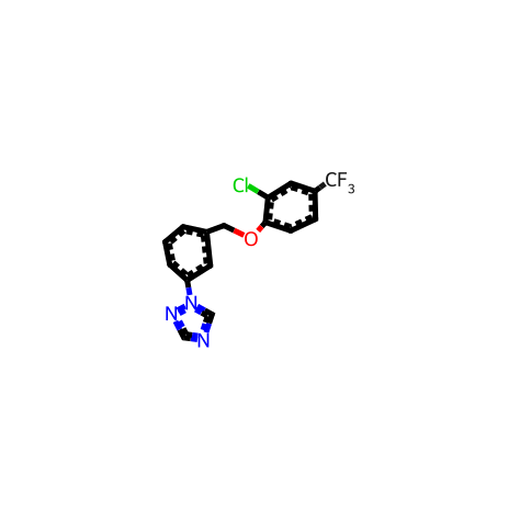 FC(F)(F)c1ccc(OCc2cccc(-n3cncn3)c2)c(Cl)c1